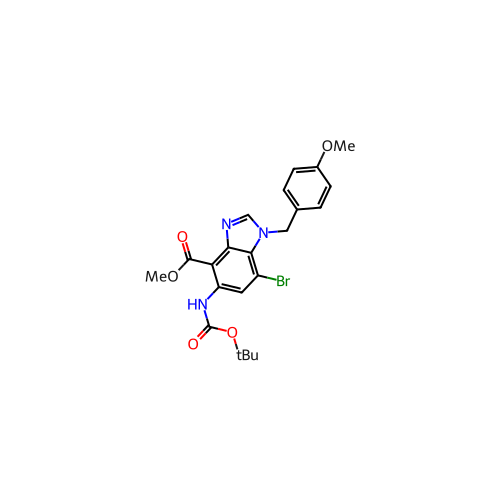 COC(=O)c1c(NC(=O)OC(C)(C)C)cc(Br)c2c1ncn2Cc1ccc(OC)cc1